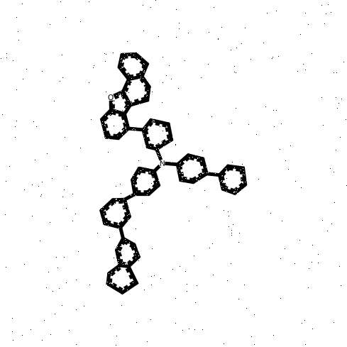 c1ccc(-c2ccc(N(c3ccc(-c4cccc(-c5ccc6ccccc6c5)c4)cc3)c3cccc(-c4cccc5oc6c7ccccc7ccc6c45)c3)cc2)cc1